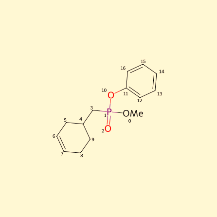 COP(=O)(CC1CC=CCC1)Oc1ccccc1